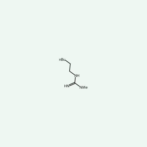 [CH2]CCCCCNC(=N)NC